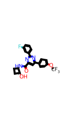 O=C(N[C@H]1CC[C@H]1O)c1cc(-c2ccc(OC(F)(F)F)cc2)nc(-c2cccc(F)c2)n1